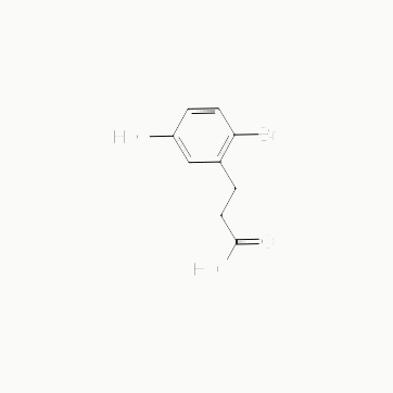 CC(=O)CCc1cc(C)ccc1Br